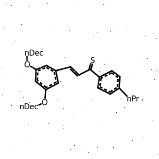 CCCCCCCCCCOc1cc(C=CC(=S)c2ccc(CCC)cc2)cc(OCCCCCCCCCC)c1